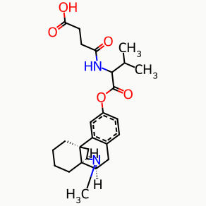 CC(C)C(NC(=O)CCC(=O)O)C(=O)Oc1ccc2c(c1)[C@]13CCCC[C@@H]1[C@H](C2)N(C)CC3